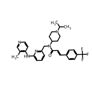 Cc1cnccc1Nc1cccc(CN(C(=O)C=Cc2ccc(C(F)(F)F)cc2)C2CCN(C(C)C)CC2)n1